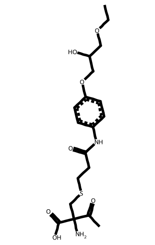 CCOCC(O)COc1ccc(NC(=O)CCSCC(N)(C(C)=O)C(=O)O)cc1